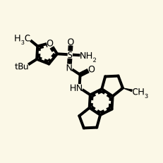 Cc1oc(S(N)(=O)=NC(=O)Nc2c3c(cc4c2CC[C@H]4C)CCC3)cc1C(C)(C)C